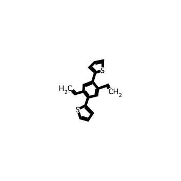 C=Cc1cc(-c2cccs2)c(C=C)cc1-c1cccs1